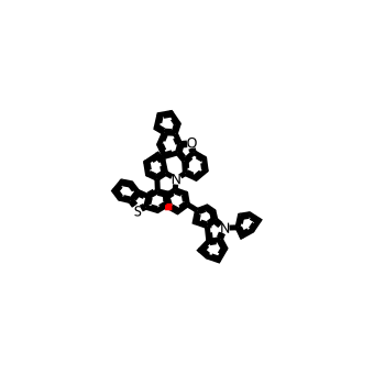 c1ccc(-n2c3ccccc3c3cc(-c4cccc(N(c5ccccc5-c5cccc6sc7ccccc7c56)c5cccc6oc7c8ccccc8ccc7c56)c4)ccc32)cc1